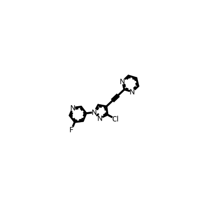 Fc1cncc(-n2cc(C#Cc3ncccn3)c(Cl)n2)c1